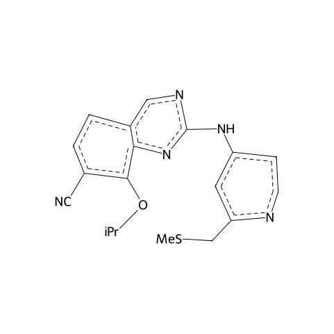 CSCc1cc(Nc2ncc3ccc(C#N)c(OC(C)C)c3n2)ccn1